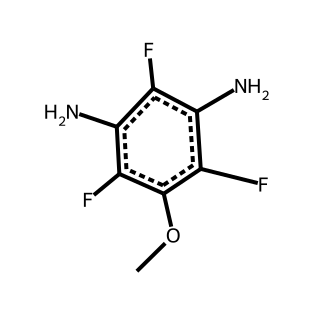 COc1c(F)c(N)c(F)c(N)c1F